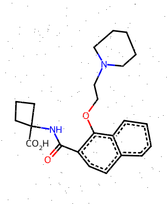 O=C(NC1(C(=O)O)CCC1)c1ccc2ccccc2c1OCCN1CCCCC1